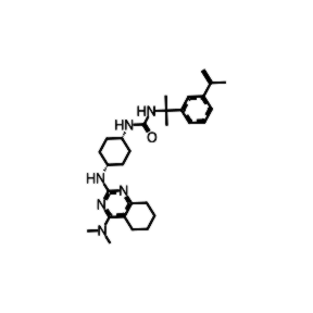 C=C(C)c1cccc(C(C)(C)NC(=O)N[C@H]2CC[C@@H](Nc3nc4c(c(N(C)C)n3)CCCC4)CC2)c1